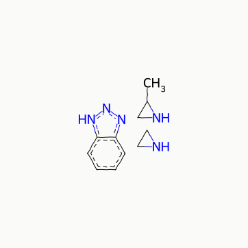 C1CN1.CC1CN1.c1ccc2[nH]nnc2c1